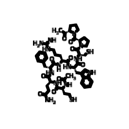 CC(=O)N[C@@H](CCS)C(=O)N[C@@H](CCC(N)=O)C(=O)N[C@H](Cc1ccccc1)C(=O)N[C@@H](CCCNC(=N)N)C(=O)N[C@@H](Cc1c[nH]c2ccccc12)C(=O)N[C@@H](CS)C(=O)N1CCC[C@H]1C(=O)N1CCC[C@H]1C(C)=O